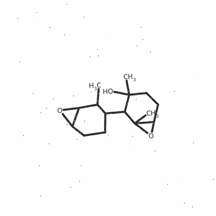 CC1C(C2C(C)(O)CCC3OC32C)CCC2OC21